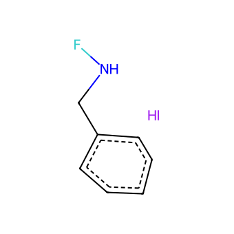 FNCc1ccccc1.I